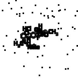 CNCCN(C)c1ccccc1Nc1cc(F)c(S(=O)(=O)Nc2cc(C)on2)cc1Cl.Cl